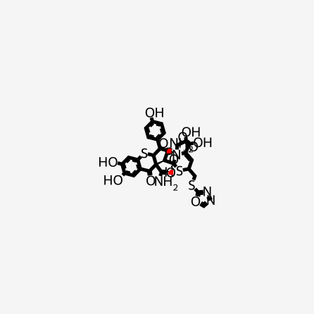 NC(=O)C(c1ccc(O)cc1)C1Sc2cc(O)c(O)cc2C(=O)C1(C(N)=O)[C@H]1C(=O)[N+]2(CC(=O)O)C(C(=O)O)=CC(CSc3nnco3)S[C@@H]12